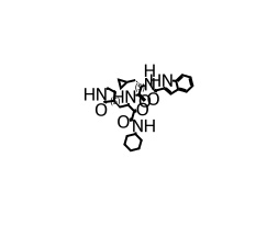 O=C(NC1CCCCC1)C(=O)C(C[C@@H]1CCNC1=O)NC(=O)[C@H](CC1CC1)NC(=O)c1cc2ccccc2[nH]1